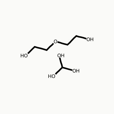 OC(O)O.OCCOCCO